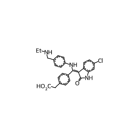 CCNCc1ccc(NC(=C2C(=O)Nc3cc(Cl)ccc32)c2ccc(CC(=O)O)cc2)cc1